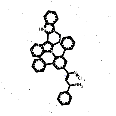 C=N/C(=C\C(N)c1ccccc1)c1cc(-c2ccccc2)c(-n2c3c(c4ccccc42)-c2[nH]c4ccccc4c2CC3)c(-c2ccccc2)c1